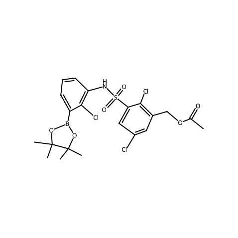 CC(=O)OCc1cc(Cl)cc(S(=O)(=O)Nc2cccc(B3OC(C)(C)C(C)(C)O3)c2Cl)c1Cl